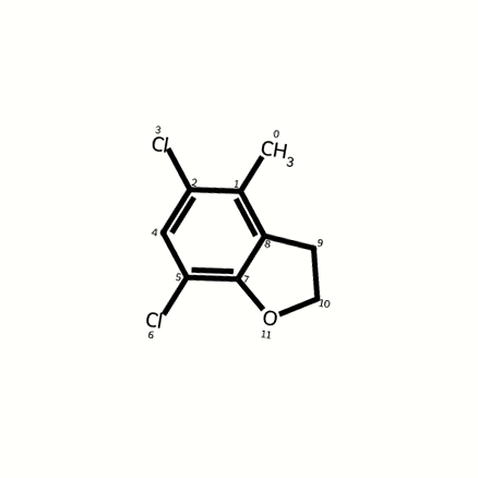 Cc1c(Cl)cc(Cl)c2c1CCO2